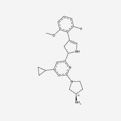 COc1cccc(F)c1C1=CNC(c2cc(C3CC3)cc(N3CC[C@@H](N)C3)n2)C1